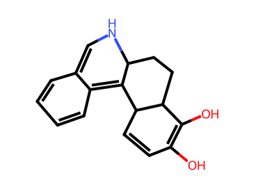 OC1=C(O)C2CCC3NC=c4ccccc4=C3C2C=C1